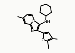 Cc1ccn2c(NC3CCCCC3)c(-c3cc(C)c(C)o3)nc2c1